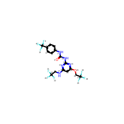 O=C(Nc1ccc(C(F)(F)F)cc1)Nc1nc(NCC(F)(F)F)cc(OCC(F)(F)F)n1